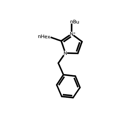 CCCCCCc1n(Cc2ccccc2)cc[n+]1CCCC